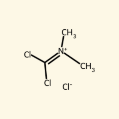 C[N+](C)=C(Cl)Cl.[Cl-]